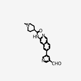 CN1CCC(C(=O)Nc2cc3cc(-c4cncc(C=O)c4)ccc3cn2)CC1